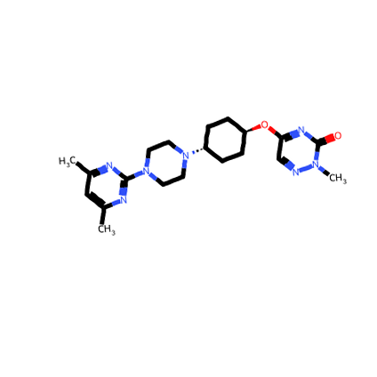 Cc1cc(C)nc(N2CCN([C@H]3CC[C@H](Oc4cnn(C)c(=O)n4)CC3)CC2)n1